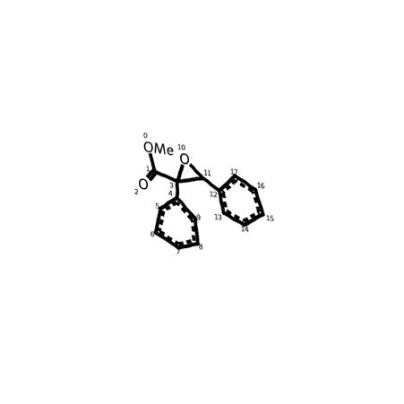 COC(=O)C1(c2ccccc2)OC1c1ccccc1